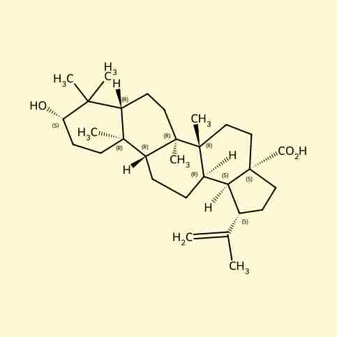 C=C(C)[C@H]1CC[C@]2(C(=O)O)CC[C@]3(C)[C@H](CC[C@@H]4[C@@]5(C)CC[C@H](O)C(C)(C)[C@@H]5CC[C@]43C)[C@H]12